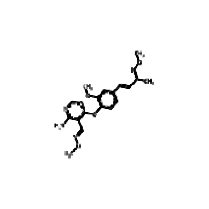 CON=Cc1c(N)ncnc1Oc1ccc(C=CC(C)=NOC)cc1OC